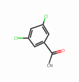 N#CC(=O)c1cc(Cl)cc(Cl)c1